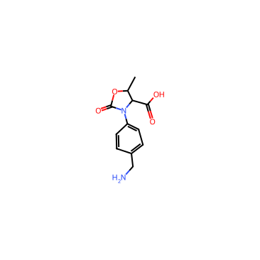 CC1OC(=O)N(c2ccc(CN)cc2)C1C(=O)O